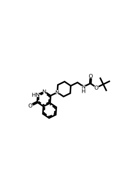 CC(C)(C)OC(=O)NCC1CCN(c2n[nH]c(=O)c3ccccc23)CC1